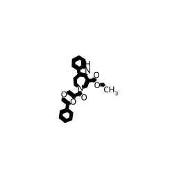 CCOC(=O)C1=CN(C(=O)C2=COC=C(C3=CC=CCC3)O2)CCc2c1[nH]c1ccccc21